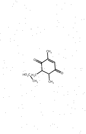 CC(=O)O.CC1=CC(=O)C(C)C(C)C1=O